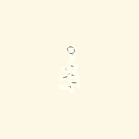 CC1=C(C(=O)O)N2C(=S)[C@@H](NC(=O)COc3ccccc3)[C@@H]2SC1